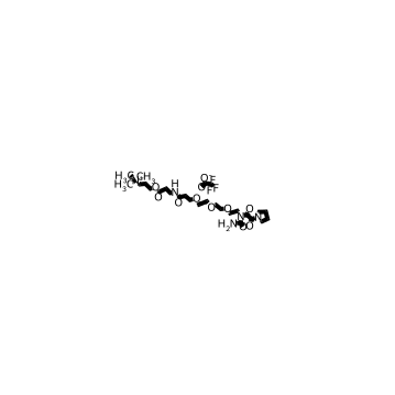 C[N+](C)(C)CCCOC(=O)CCNC(=O)CCOCCOCCOCCN(C(N)=O)C(=O)C(=O)N1CCCC1.O=C([O-])C(F)(F)F